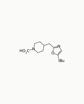 CC(C)(C)c1cnc(CC2CCN(C(=O)O)CC2)o1